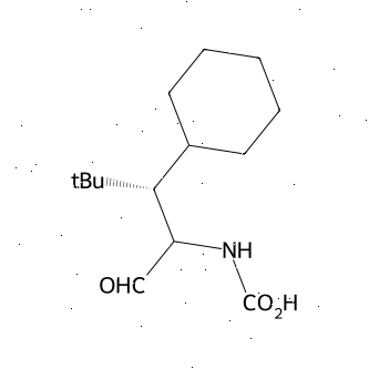 CC(C)(C)[C@H](C1CCCCC1)C(C=O)NC(=O)O